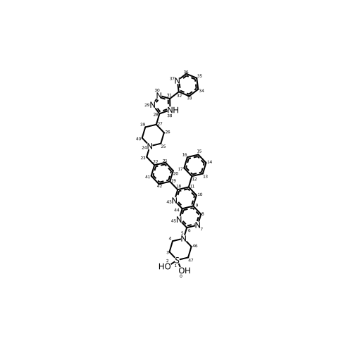 OS1(O)CCN(c2ncc3cc(-c4ccccc4)c(-c4ccc(CN5CCC(c6nnc(-c7ccccn7)[nH]6)CC5)cc4)nc3n2)CC1